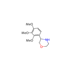 COc1ccc(C2[CH]OCCN2)c(OC)c1OC